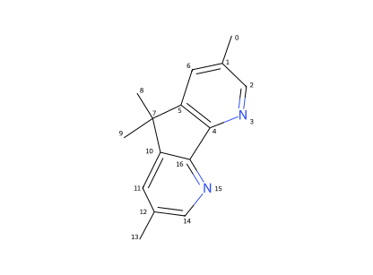 Cc1cnc2c(c1)C(C)(C)c1cc(C)cnc1-2